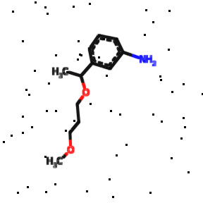 COCCCOC(C)c1cccc(N)c1